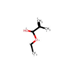 C=C(C)C(O)OCC(F)(F)F